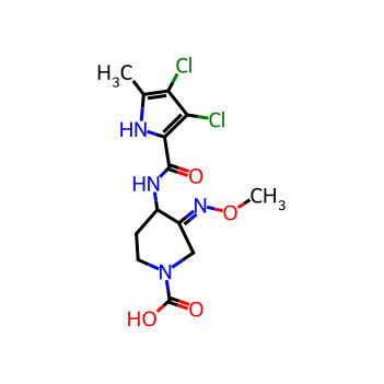 CON=C1CN(C(=O)O)CCC1NC(=O)c1[nH]c(C)c(Cl)c1Cl